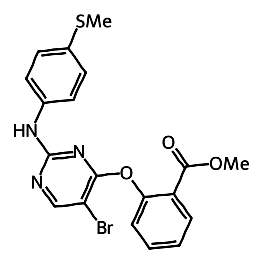 COC(=O)c1ccccc1Oc1nc(Nc2ccc(SC)cc2)ncc1Br